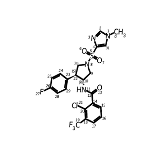 Cn1cnc(S(=O)(=O)N2C[C@H](NC(=O)c3cccc(C(F)(F)F)c3Cl)[C@@H](c3ccc(F)cc3)C2)c1